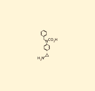 N[C@@H]1C[C@H]1c1ccc(N(Cc2ccccc2)C(=O)O)cc1